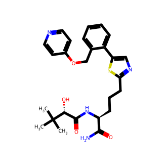 CC(C)(C)[C@H](O)C(=O)N[C@@H](CCCc1ncc(-c2ccccc2COc2ccncc2)s1)C(N)=O